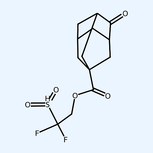 O=C1C2CC3CC1CC(C(=O)OCC(F)(F)[SH](=O)=O)(C3)C2